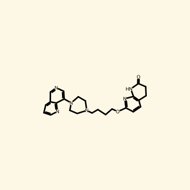 O=C1CCc2ccc(OCCCCN3CCN(c4cncc5cccnc45)CC3)nc2N1